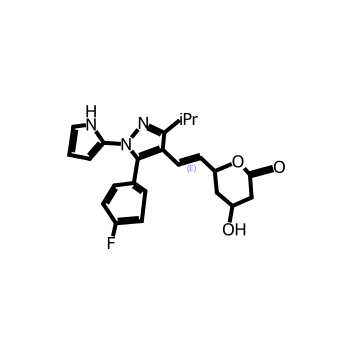 CC(C)c1nn(-c2ccc[nH]2)c(-c2ccc(F)cc2)c1/C=C/C1CC(O)CC(=O)O1